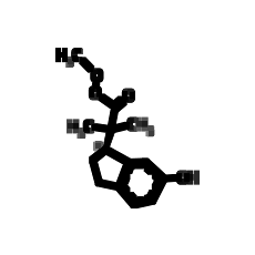 COOC(=O)C(C)(C)[C@@H]1CCc2ccc(O)cc21